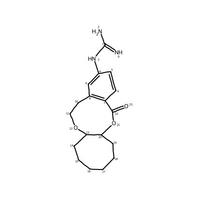 N=C(N)Nc1ccc2c(c1)CCOC1CCCCCCC1OC2=O